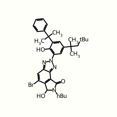 CCCCN1C(=O)c2c(c(Br)cc3nn(-c4cc(C(C)(C)CC(C)(C)C)cc(C(C)(C)c5ccccc5)c4O)nc23)C1O